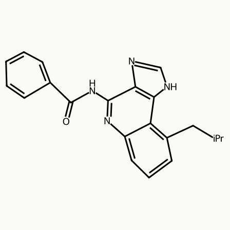 CC(C)Cc1cccc2nc(NC(=O)c3ccccc3)c3nc[nH]c3c12